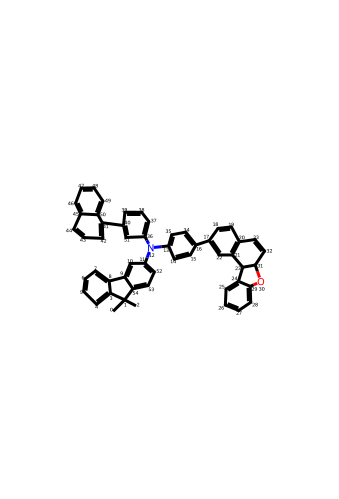 CC1(C)c2ccccc2-c2cc(N(c3ccc(-c4ccc5c(c4)C4c6ccccc6OC4C=C5)cc3)c3cccc(-c4cccc5ccccc45)c3)ccc21